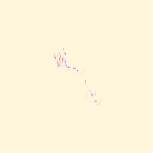 NC(=O)CCC(=O)NCCCOCCOCCOCCCNC(=O)CN1CCN2CCN3CCN(CC1)CC(=O)ON(OC(=O)C2)OC(=O)C3